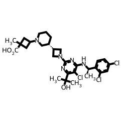 C[C@@H](Nc1nc(N2CC([C@H]3CCCN(C4CC(C)(C(=O)O)C4)C3)C2)nc(C(C)(C)O)c1Cl)c1ccc(Cl)cc1Cl